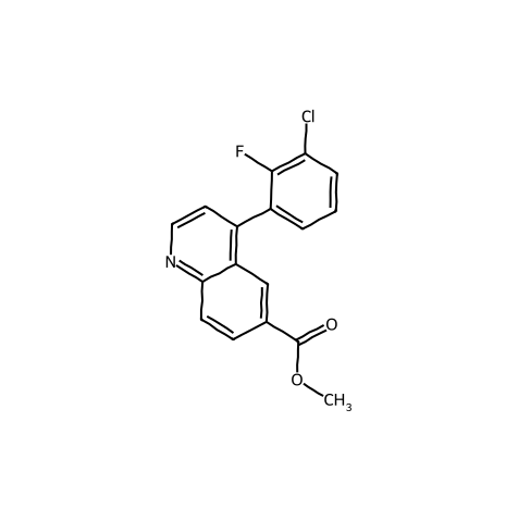 COC(=O)c1ccc2nccc(-c3cccc(Cl)c3F)c2c1